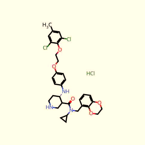 Cc1cc(Cl)c(OCCOc2ccc(N[C@H]3CCNCC3C(=O)N(Cc3cccc4c3OCCO4)C3CC3)cc2)c(Cl)c1.Cl